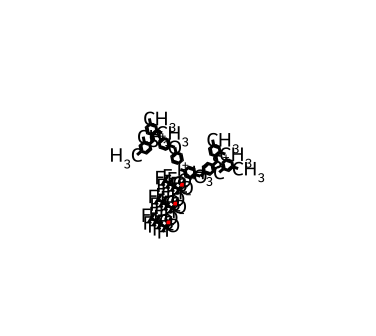 Cc1ccc([S+](c2ccc(Oc3ccc([I+]c4ccc(Oc5ccc([S+](c6ccc(C)cc6C)c6ccc(C)cc6C)cc5)cc4)cc3)cc2)c2ccc(C)cc2C)c(C)c1.O=S(=O)([O-])C(F)(F)C(F)(F)C(F)(F)C(F)(F)F.O=S(=O)([O-])C(F)(F)C(F)(F)C(F)(F)C(F)(F)F.O=S(=O)([O-])C(F)(F)C(F)(F)C(F)(F)C(F)(F)F